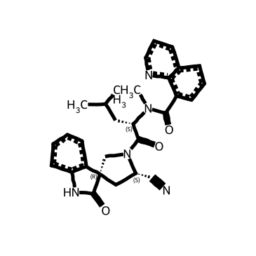 CC(C)C[C@@H](C(=O)N1C[C@]2(C[C@H]1C#N)C(=O)Nc1ccccc12)N(C)C(=O)c1cccc2cccnc12